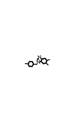 Cc1ccc(Cn2cnc3cc(C)c(C)cc32)cc1